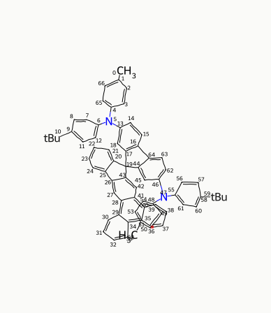 Cc1ccc(N(c2ccc(C(C)(C)C)cc2)c2ccc3c(c2)C2(c4ccccc4-c4cc5c6ccccc6c6ccccc6c5cc42)c2cc(N(c4ccc(C)cc4)c4ccc(C(C)(C)C)cc4)ccc2-3)cc1